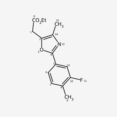 CCOC(=O)Cc1oc(-c2ccc(C)c(F)c2)nc1C